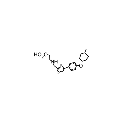 C[C@H]1CC[C@H](Oc2ccc(-c3csc(CNCCC(=O)O)n3)cc2)CC1